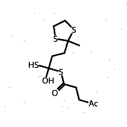 CC(=O)CCC(=O)SC(O)(S)CCC1(C)SCCS1